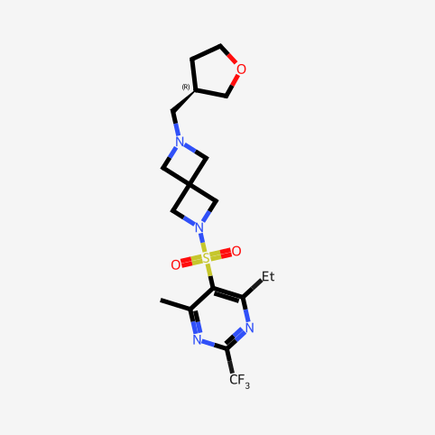 CCc1nc(C(F)(F)F)nc(C)c1S(=O)(=O)N1CC2(CN(C[C@H]3CCOC3)C2)C1